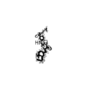 CN(C)CCN(C)C(=O)c1ccc(Cl)c(NC2=NC(=O)/C(=C/c3ccc4ncccc4c3)S2)c1